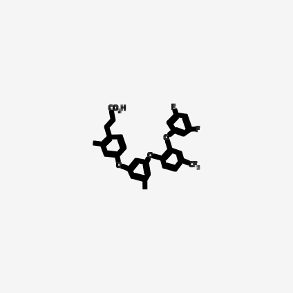 Cc1cc(Oc2ccc(CCC(=O)O)c(C)c2)cc(Oc2ccc(C(F)(F)F)cc2Oc2cc(F)cc(F)c2)c1